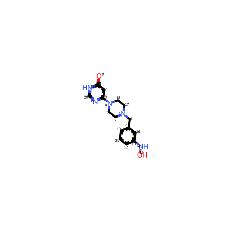 O=c1cc(N2CCN(Cc3cccc(NO)c3)CC2)nc[nH]1